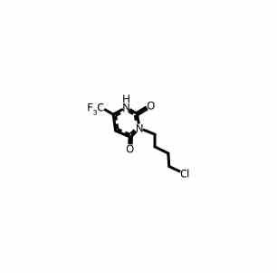 O=c1cc(C(F)(F)F)[nH]c(=O)n1CCCCCl